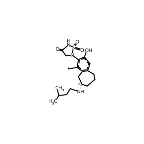 CC(C)CCN[C@H]1CCCc2cc(O)c(N3CC(=O)NS3(=O)=O)c(F)c2C1